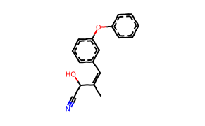 CC(=Cc1cccc(Oc2ccccc2)c1)C(O)C#N